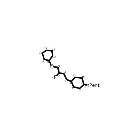 CCCCCC1CCC(CCC(F)COC2CCCCC2)CC1